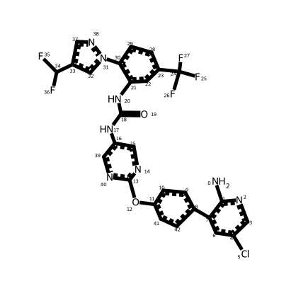 Nc1ncc(Cl)cc1-c1ccc(Oc2ncc(NC(=O)Nc3cc(C(F)(F)F)ccc3-n3cc(C(F)F)cn3)cn2)cc1